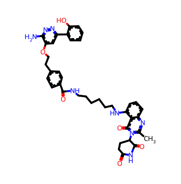 Cc1nc2cccc(NCCCCCCNC(=O)c3ccc(CCOc4cc(-c5ccccc5O)nnc4N)cc3)c2c(=O)n1C1CCC(=O)NC1=O